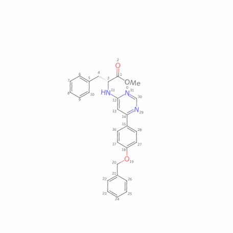 COC(=O)[C@@H](Cc1ccccc1)Nc1cc(-c2ccc(OCc3ccccc3)cc2)ncn1